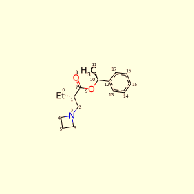 CC[C@@H](CN1CCC1)C(=O)O[C@@H](C)c1ccccc1